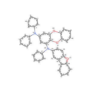 c1ccc(N(c2ccccc2)c2cc3c(c(N(c4ccccc4)c4ccc5oc6ccccc6c5c4)c2)Oc2ccccc2O3)cc1